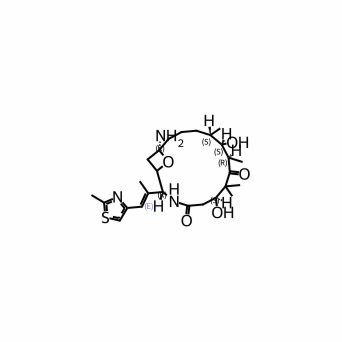 C/C(=C\c1csc(C)n1)[C@H]1NC(=O)C[C@H](O)C(C)(C)C(=O)[C@H](C)[C@@H](O)[C@@H](C)CCC[C@]2(N)CC1O2